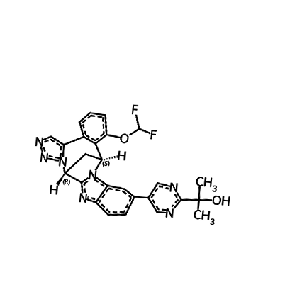 CC(C)(O)c1ncc(-c2ccc3nc4n(c3c2)[C@H]2C[C@H]4n3nncc3-c3cccc(OC(F)F)c32)cn1